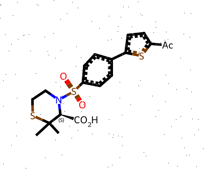 CC(=O)c1ccc(-c2ccc(S(=O)(=O)N3CCSC(C)(C)[C@@H]3C(=O)O)cc2)s1